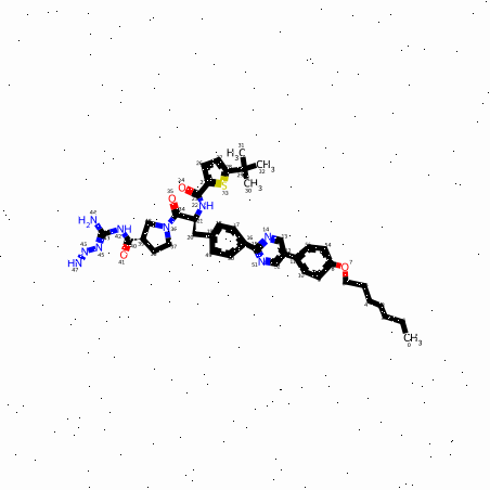 CCCCCCCOc1ccc(-c2cnc(-c3ccc(C[C@H](NC(=O)c4ccc(C(C)(C)C)s4)C(=O)N4CC[C@H](C(=O)N/C(N)=N/N=N)C4)cc3)nc2)cc1